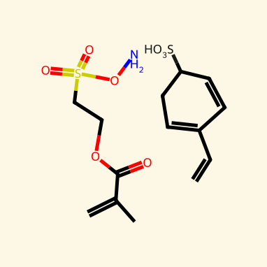 C=C(C)C(=O)OCCS(=O)(=O)ON.C=CC1=CCC(S(=O)(=O)O)C=C1